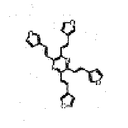 C(=C\c1nc(/C=C/c2ccoc2)c(/C=C/c2ccoc2)nc1/C=C/c1ccoc1)/c1ccoc1